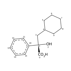 O=C(O)[C@](O)(CC1CCCCC1)c1ccccc1